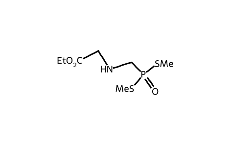 CCOC(=O)CNCP(=O)(SC)SC